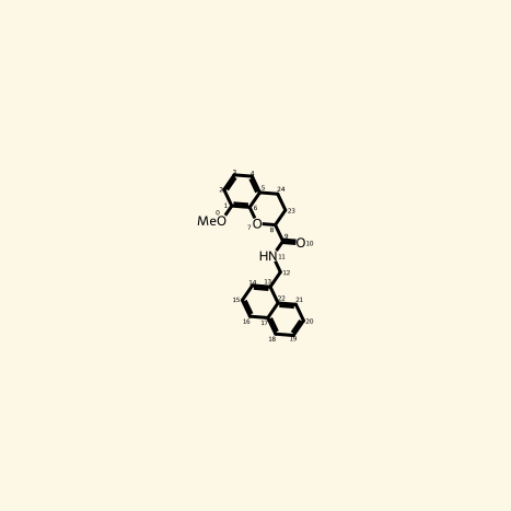 COc1cccc2c1OC(C(=O)NCc1cccc3ccccc13)CC2